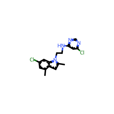 Cc1cc(Cl)cc2c1cc(C)n2CCNc1cc(Cl)ncn1